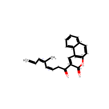 C=C/C=C(C)\C=C/CC(=O)c1cc2c(ccc3ccccc32)oc1=O